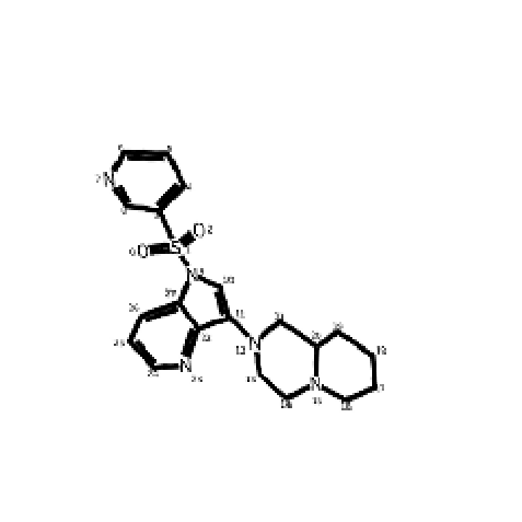 O=S(=O)(c1cccnc1)n1cc(N2CCN3CCCCC3C2)c2ncccc21